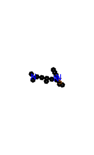 c1ccc(-n2c3ccccc3c3cc(-c4ccc(-c5ccc(-c6ccc(-c7cc8c9ccc%10ccccc%10c9sc8c8nc9cc%10cc%11ccccc%11cc%10cc9n78)cc6)c6ccccc56)cc4)ccc32)cc1